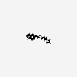 IC(I)(CCOCCc1ccc2sccc2c1)N1CCC1